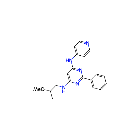 COC(C)CNc1cc(Nc2ccncc2)nc(-c2ccccc2)n1